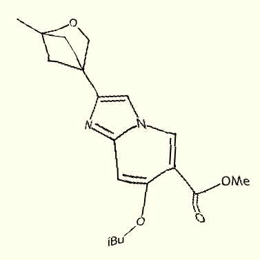 CCC(C)Oc1cc2nc(C34COC(C)(C3)C4)cn2cc1C(=O)OC